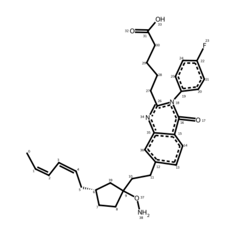 C/C=C\C=C/C[C@H]1CCC(CCc2ccc3c(=O)n(-c4ccc(F)cc4)c(CCCCC(=O)O)nc3c2)(ON)C1